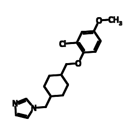 COc1ccc(OCC2CCC(Cn3ccnc3)CC2)c(Cl)c1